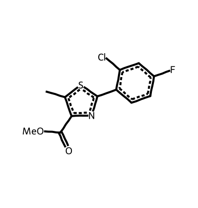 COC(=O)c1nc(-c2ccc(F)cc2Cl)sc1C